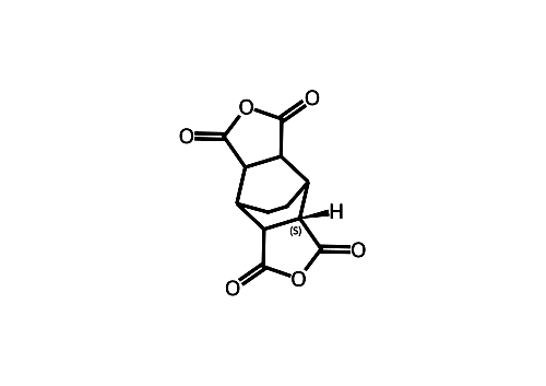 O=C1OC(=O)C2C1C1CCC2[C@@H]2C(=O)OC(=O)C12